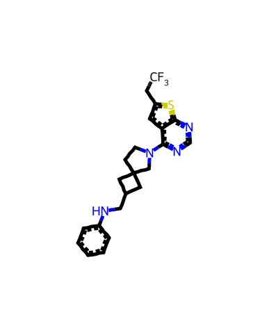 FC(F)(F)Cc1cc2c(N3CCC4(CC(CNc5ccccc5)C4)C3)ncnc2s1